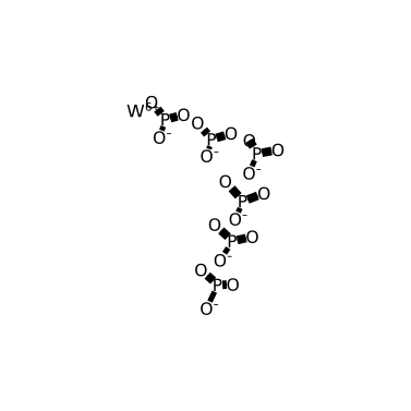 O=P(=O)[O-].O=P(=O)[O-].O=P(=O)[O-].O=P(=O)[O-].O=P(=O)[O-].O=P(=O)[O-].[W+6]